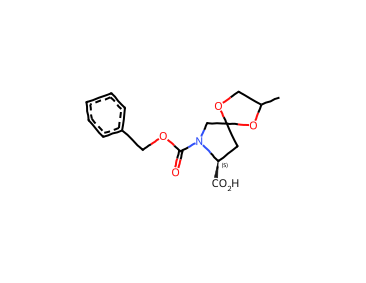 CC1COC2(C[C@@H](C(=O)O)N(C(=O)OCc3ccccc3)C2)O1